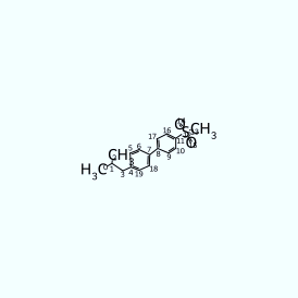 CC(C)Cc1ccc(-c2ccc(S(C)(=O)=O)cc2)cc1